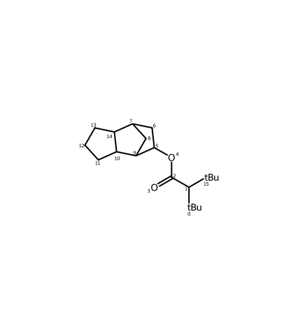 CC(C)(C)C(C(=O)OC1CC2CC1C1CCCC21)C(C)(C)C